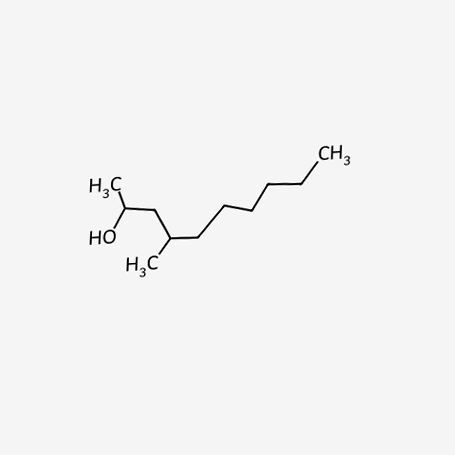 CCCCCCC(C)CC(C)O